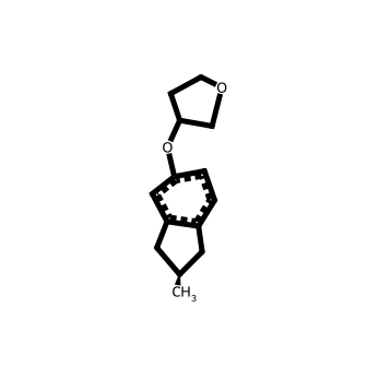 C[C@@H]1Cc2ccc(OC3CCOC3)cc2C1